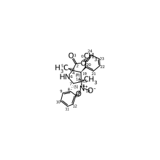 COC(=O)[C@@]1(C)N[C@@H](c2ccccc2)[C@@](C)([N+](=O)[O-])[C@@H]1c1ccccc1